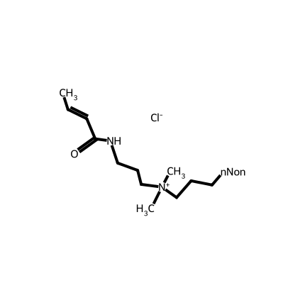 CC=CC(=O)NCCC[N+](C)(C)CCCCCCCCCCCC.[Cl-]